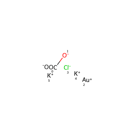 O=C([O-])[O-].[Au+].[Cl-].[K+].[K+]